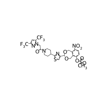 CS(=O)(=O)Oc1ccc([N+](=O)[O-])c2c1COC(c1csc(C3CCN(C(=O)Cn4nc(C(F)(F)F)cc4C(F)(F)F)CC3)n1)OC2